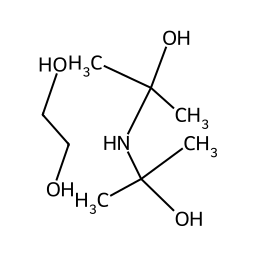 CC(C)(O)NC(C)(C)O.OCCO